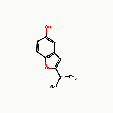 CCCCC(C)c1cc2cc(O)ccc2o1